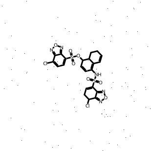 O=S(=O)(NC1=C2C=CCCC2C(OS(=O)(=O)c2ccc(Cl)c3nonc23)C=C1)C1=CCC(Cl)c2nonc21